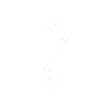 COC(=O)N[C@@H](C(=O)N1CC2(CC2)C[C@H]1c1ncc(-c2ccc(C#Cc3ccc4nc([C@@H]5CC6(CC6)CN5C(=O)[C@H](C)c5ccccc5)[nH]c4c3)cc2)[nH]1)c1ccccc1